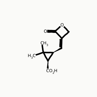 CC1(C)[C@H](C(=O)O)[C@@H]1C=C1COC1=O